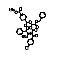 CC(C)(C)OC(=O)N1CCC(C(=O)OC(OC(=O)N(C(=O)c2ccc(Cl)cc2)N(C(=O)c2ccccc2)C(C)(C)C)C(=O)OCc2ccccc2)CC1